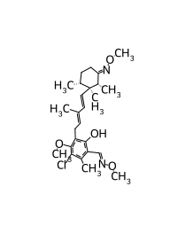 CO/N=C/c1c(C)c(Cl)c(OC)c(C/C=C(C)/C=C/[C@@]2(C)[C@H](C)CC/C(=N\OC)[C@@H]2C)c1O